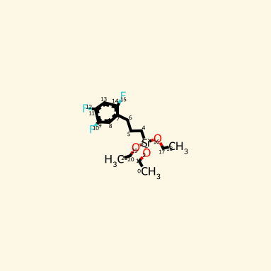 CCO[Si](CCCc1cc(F)c(F)cc1F)(OCC)OCC